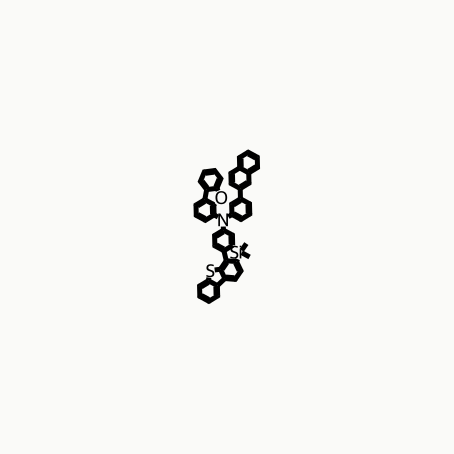 C[Si]1(C)c2cc(N(c3cccc(-c4ccc5ccccc5c4)c3)c3cccc4c3oc3ccccc34)ccc2-c2c1ccc1c2sc2ccccc21